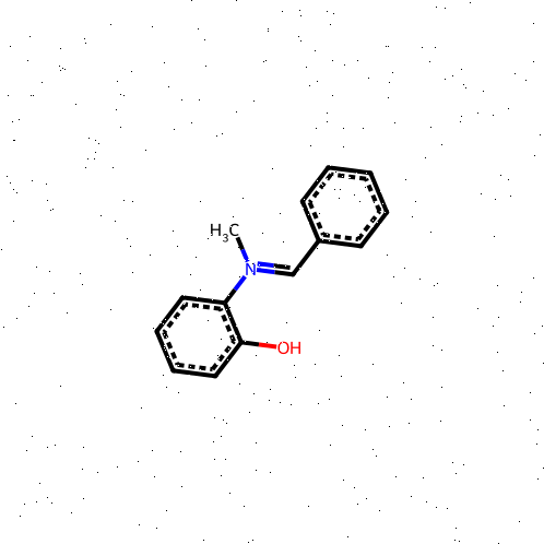 C/[N+](=C\c1ccccc1)c1ccccc1O